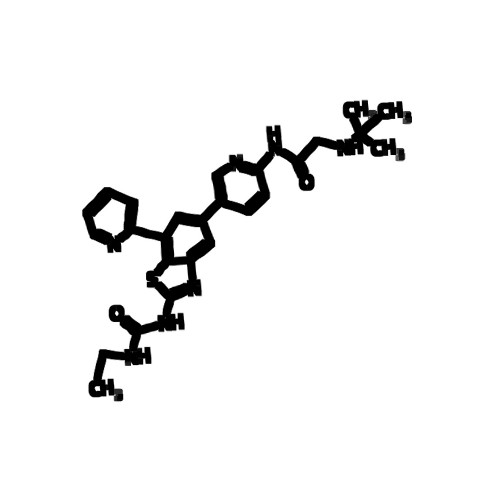 CCNC(=O)Nc1nc2cc(-c3ccc(NC(=O)CNC(C)(C)C)nc3)cc(-c3ccccn3)c2s1